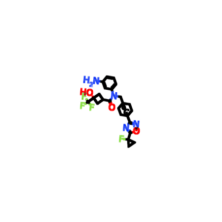 Nc1cccc(N(CC23CCC(c4noc(C5(F)CC5)n4)(CC2)CC3)C(=O)C2CC(O)(C(F)(F)F)C2)c1